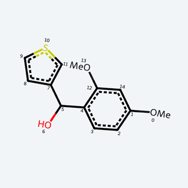 COc1ccc(C(O)c2ccsc2)c(OC)c1